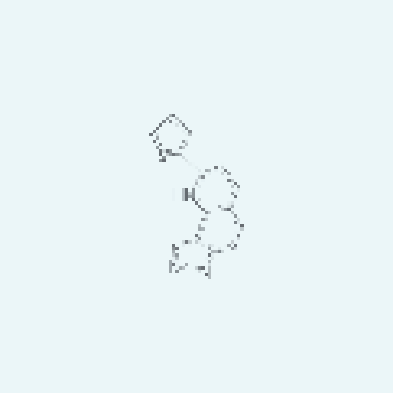 c1csc(-c2ccc3ccc4nncc4c3[nH]2)c1